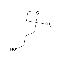 CC1(CCCO)CCO1